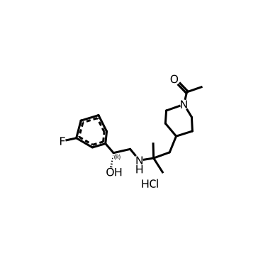 CC(=O)N1CCC(CC(C)(C)NC[C@H](O)c2cccc(F)c2)CC1.Cl